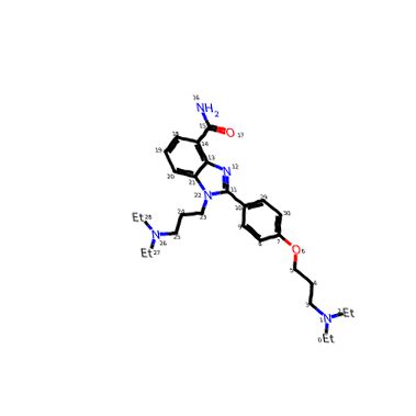 CCN(CC)CCCOc1ccc(-c2nc3c(C(N)=O)cccc3n2CCCN(CC)CC)cc1